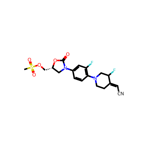 CS(=O)(=O)OC[C@H]1CN(c2ccc(N3CC/C(=C\C#N)C(F)C3)c(F)c2)C(=O)O1